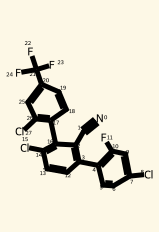 N#Cc1c(-c2ccc(Cl)cc2F)c[c]c(Cl)c1-c1ccc(C(F)(F)F)cc1Cl